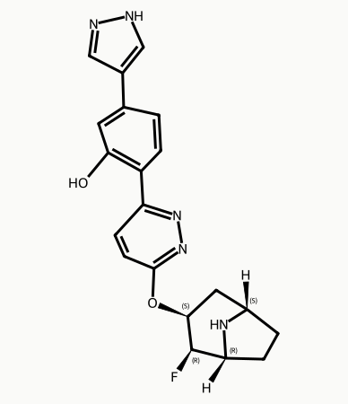 Oc1cc(-c2cn[nH]c2)ccc1-c1ccc(O[C@H]2C[C@@H]3CC[C@@H](N3)[C@H]2F)nn1